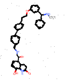 O=C(O)NC(c1ccccc1)c1cccc(OCCc2ccc(-c3ccc(CNCC(O)c4ccc(O)c5[nH]c(=O)ccc45)cc3)cc2)c1